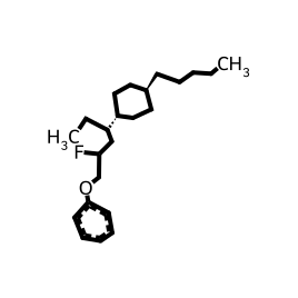 CCCCC[C@H]1CC[C@H](C(CC)CC(F)COc2ccccc2)CC1